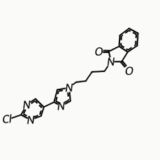 O=C1c2ccccc2C(=O)N1CCCCn1cnc(-c2cnc(Cl)nc2)c1